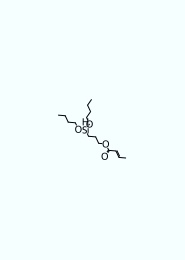 CC=CC(=O)OCCC[SiH](OCCCC)OCCCC